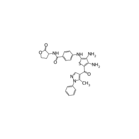 Cc1c(C(=O)c2sc(Nc3ccc(C(=O)NC4CCOC4=O)cc3)c(N)c2N)cnn1-c1ccccc1